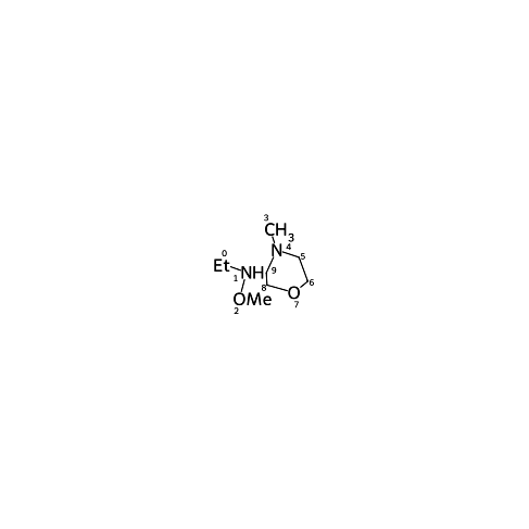 CCNOC.CN1CCOCC1